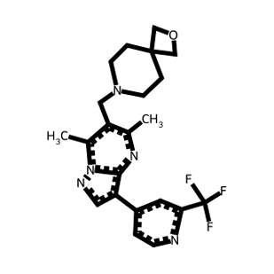 Cc1nc2c(-c3ccnc(C(F)(F)F)c3)cnn2c(C)c1CN1CCC2(CC1)COC2